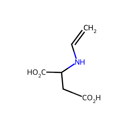 C=CNC(CC(=O)O)C(=O)O